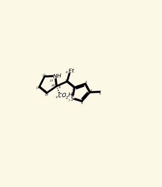 CCC(c1cc(C)cs1)[C@@]1(C(=O)O)CCCN1